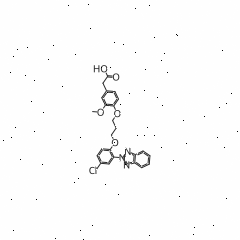 COc1cc(CC(=O)O)ccc1OCCCOc1ccc(Cl)cc1-n1nc2ccccc2n1